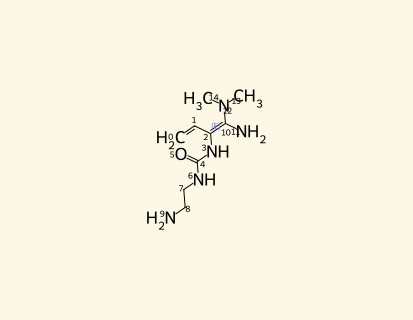 C=C/C(NC(=O)NCCN)=C(/N)N(C)C